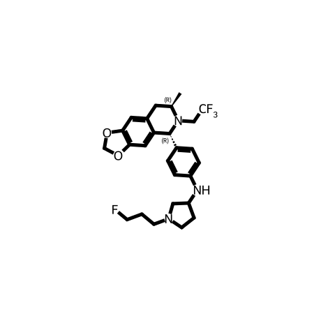 C[C@@H]1Cc2cc3c(cc2[C@@H](c2ccc(NC4CCN(CCCF)C4)cc2)N1CC(F)(F)F)OCO3